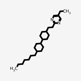 CCCCCCCC1CCC(C2CCC(CCc3ncc(CC)cn3)CC2)CC1